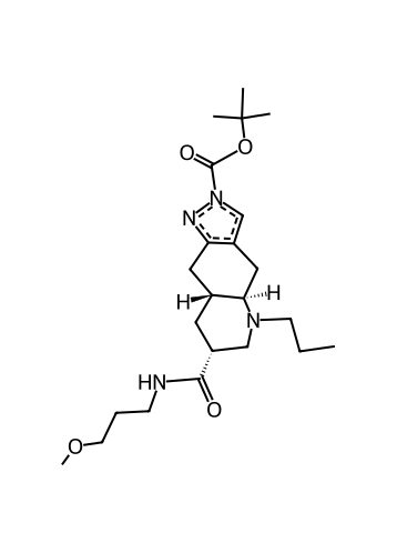 CCCN1C[C@H](C(=O)NCCCOC)C[C@@H]2Cc3nn(C(=O)OC(C)(C)C)cc3C[C@H]21